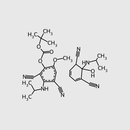 CC(C)NC1(O)C(C#N)=CC=CC1C#N.COc1cc(C#N)c(NC(C)C)c(C#N)c1OC(=O)OC(C)(C)C